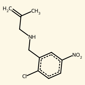 C=C(C)CNCc1cc([N+](=O)[O-])ccc1Cl